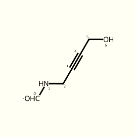 O=[C]NCC#CCO